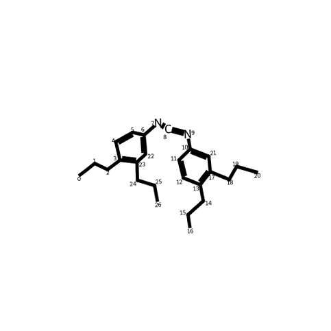 CCCc1ccc(N=C=Nc2ccc(CCC)c(CCC)c2)cc1CCC